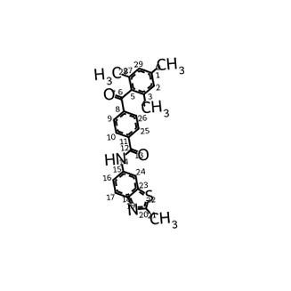 Cc1cc(C)c(C(=O)c2ccc(C(=O)Nc3ccc4nc(C)sc4c3)cc2)c(C)c1